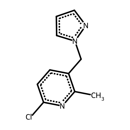 Cc1nc(Cl)ccc1Cn1cccn1